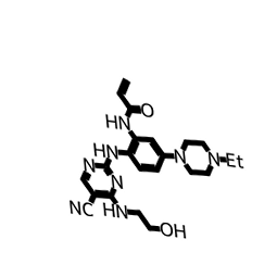 C=CC(=O)Nc1cc(N2CCN(CC)CC2)ccc1Nc1ncc(C#N)c(NCCO)n1